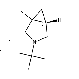 CC12C[C@@H]1CN(C(C)(C)C)C2